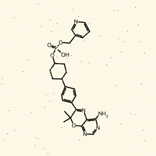 CC1(C)Oc2ncnc(N)c2N=C1c1ccc(C2CCC(OP(=O)(O)OCc3cccnc3)CC2)cc1